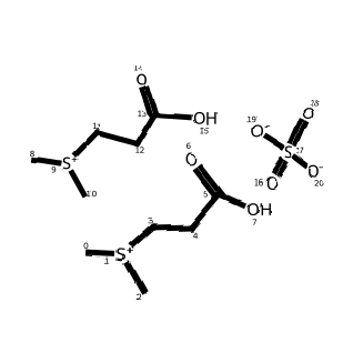 C[S+](C)CCC(=O)O.C[S+](C)CCC(=O)O.O=S(=O)([O-])[O-]